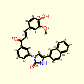 COc1cc(/C=C/C(=O)c2cccc(-n3cc(-c4ccc5ccccc5c4)[nH]c3=O)c2)ccc1O